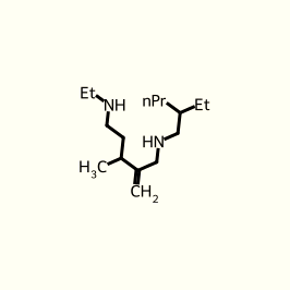 C=C(CNCC(CC)CCC)C(C)CCNCC